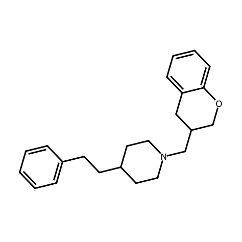 [c]1cccc(CCC2CCN(CC3COc4ccccc4C3)CC2)c1